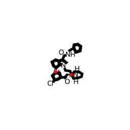 CCc1cccc2c(C(=O)NCc3ccccc3)cn(CCCN3[C@@H]4CC[C@H]3C[C@@H](CC(=O)c3cccc(Cl)c3)C4)c12